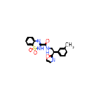 Cc1cccc(C(CNC(=O)C2=Nc3ccccc3S(=O)(=O)N2)c2ncco2)c1